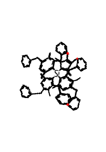 CC1=C(C)C(C)C([Si](c2c(C)cc(Cc3ccccc3)c(C)c2Cc2ccccc2)(c2c(C)cc(Cc3ccccc3)c(C)c2Cc2ccccc2)c2c(C)cc(Cc3ccccc3)c(C)c2Cc2ccccc2)=C1C